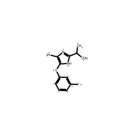 CC(=O)OC(C)c1nc(C(C)C)c(Sc2cccc(F)c2)[nH]1